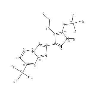 CCSc1c(-c2cn3cnc(C(F)(F)F)cc3n2)nn(C)c1[CH]C(C)(C)C